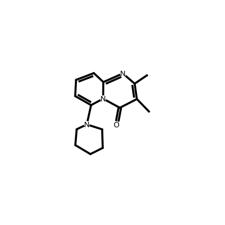 Cc1nc2cccc(N3CCCCC3)n2c(=O)c1C